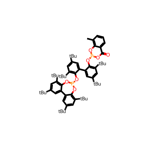 Cc1cccc2c1OP(Oc1c(-c3cc(C(C)(C)C)cc(C(C)(C)C)c3Op3oc4c(C(C)(C)C)cc(C(C)(C)C)cc4c4cc(C(C)(C)C)cc(C(C)(C)C)c4o3)cc(C(C)(C)C)cc1C(C)(C)C)OC2=O